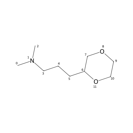 CN(C)CCCC1COCCO1